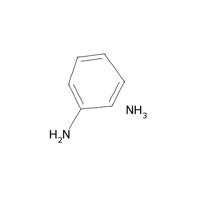 N.Nc1ccccc1